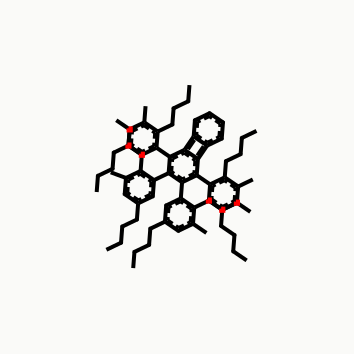 CCCCc1cc(C)c(CCCC)c(-c2c(-c3cc(CCCC)cc(C)c3CCCC)c(-c3cc(CCCC)cc(C)c3CCCC)c3c(c2-c2cc(CCCC)cc(C)c2CCCC)=c2ccccc2=3)c1